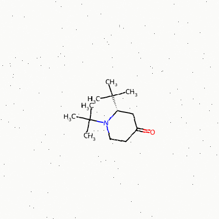 CC(C)(C)[C@@H]1CC(=O)CCN1C(C)(C)C